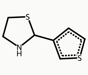 c1cc(C2NCCS2)cs1